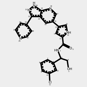 O=C(NC(CO)c1cccc(Cl)c1)c1cc(-c2cnc3[nH]nc(-c4ccncc4)c3c2)c[nH]1